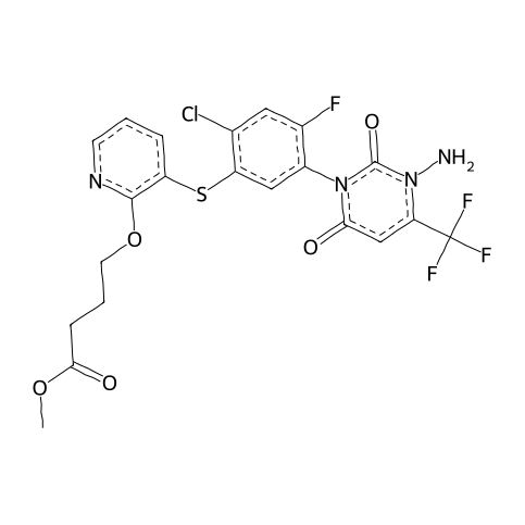 COC(=O)CCCOc1ncccc1Sc1cc(-n2c(=O)cc(C(F)(F)F)n(N)c2=O)c(F)cc1Cl